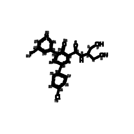 O=C(NC(CO)CO)c1cc(-c2ccc(Cl)cc2)nn(-c2cncc(F)c2)c1=O